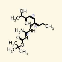 C=C(/C=C\C(=C/CC)CN/C(N)=N/C(=O)OC(C)(C)C)C(C)O